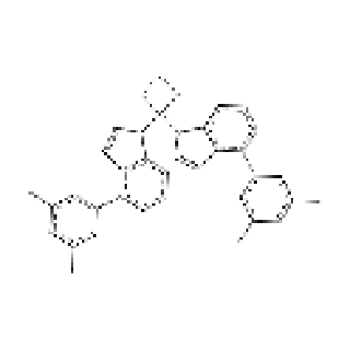 Cc1cc(C)cc(-c2cccc3c2C=CC3C2(C3C=Cc4c(-c5cc(C)cc(C)c5)cccc43)CCC2)c1